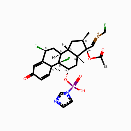 CCC(=O)O[C@]1(C=[SH]CF)[C@H](C)C[C@H]2[C@@H]3C[C@H](F)C4=CC(=O)C=C[C@]4(C)[C@@]3(F)[C@@H](OP(=O)(O)n3ccnc3)C[C@@]21C